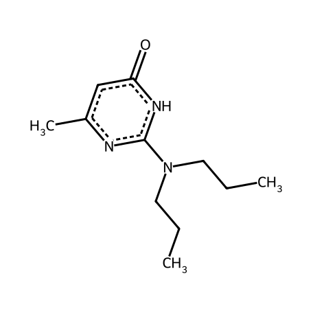 CCCN(CCC)c1nc(C)cc(=O)[nH]1